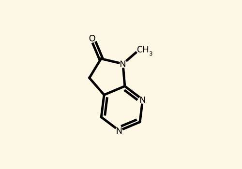 CN1C(=O)Cc2cncnc21